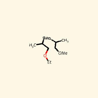 CCOCC(C)OC(C)=O.COCC(C)OC(C)=O